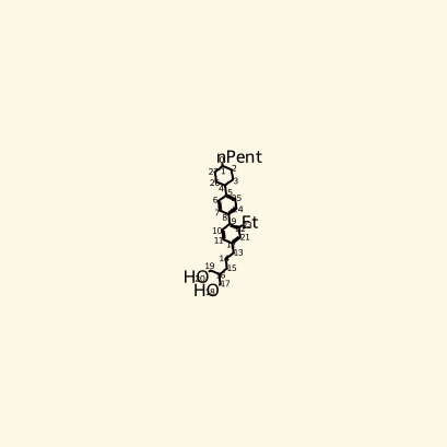 CCCCCC1CCC(c2ccc(-c3ccc(CCCC(CO)CO)cc3CC)cc2)CC1